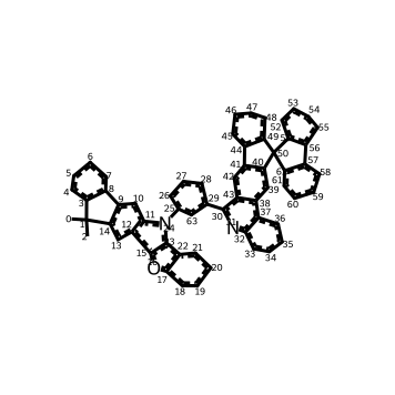 CC1(C)c2ccccc2-c2cc3c(cc21)c1oc2ccccc2c1n3-c1cccc(-c2nc3ccccc3c3cc4c(cc23)-c2ccccc2C42c3ccccc3-c3ccccc32)c1